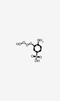 Nc1ccc(S(=O)(=O)O)cc1SOOO